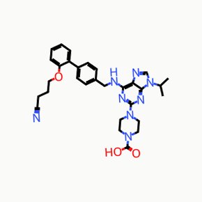 CC(C)n1cnc2c(NCc3ccc(-c4ccccc4OCCCC#N)cc3)nc(N3CCN(C(=O)O)CC3)nc21